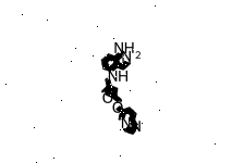 Nc1nccc2c(NCC34COC(COc5ccc6nccn6c5)(C3)C4)cccc12